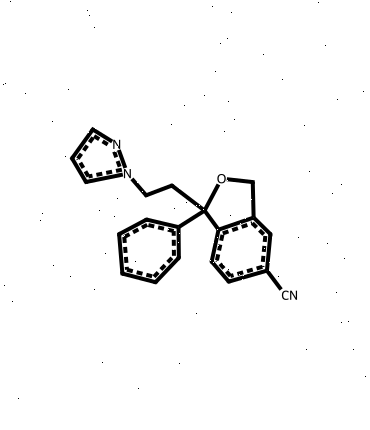 N#Cc1ccc2c(c1)COC2(CCn1cccn1)c1ccccc1